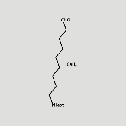 CCCCCCCCCCCCCCCC=O.[CaH2]